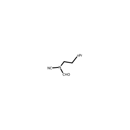 CCCCCN(C#N)C=O